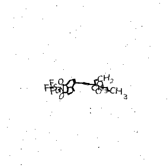 C=CC(C)(C#Cc1ccc2c3c(cccc13)C(=O)N(OSC(F)(F)F)C2=O)OC(=O)CCC